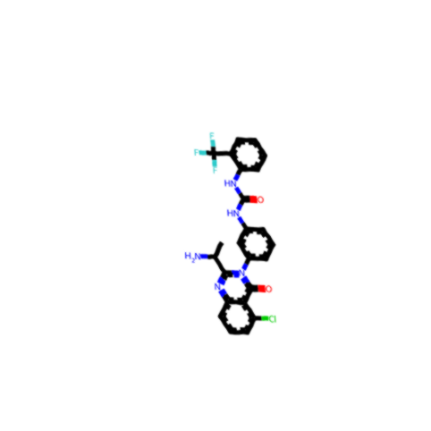 CC(N)c1nc2cccc(Cl)c2c(=O)n1-c1cccc(NC(=O)Nc2ccccc2C(F)(F)F)c1